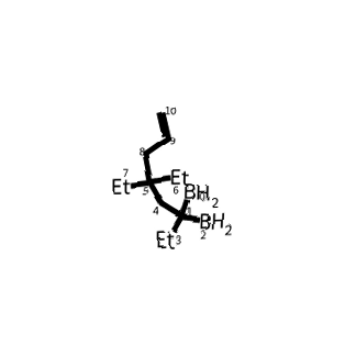 BC(B)(CC)CC(CC)(CC)CC=C